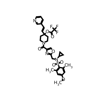 COc1cc(C)c(S(=O)(=O)N(Cc2nc(C(=O)N3CCC(/C=C/c4cccnc4)(OC(=O)C(F)(F)F)CC3)co2)C2CC2)c(C)c1